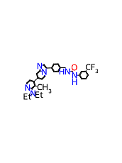 CCN(CC)c1nccc(-c2ccn3c(-c4ccc(CNC(=O)Nc5cccc(C(F)(F)F)c5)cc4)cnc3c2)c1C